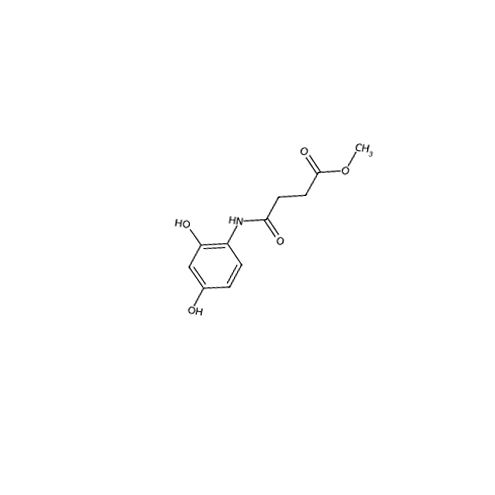 COC(=O)CCC(=O)Nc1ccc(O)cc1O